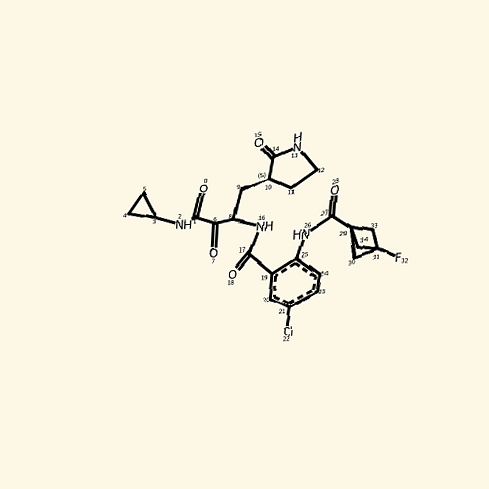 O=C(NC1CC1)C(=O)C(C[C@@H]1CCNC1=O)NC(=O)c1cc(Cl)ccc1NC(=O)C12CC(F)(C1)C2